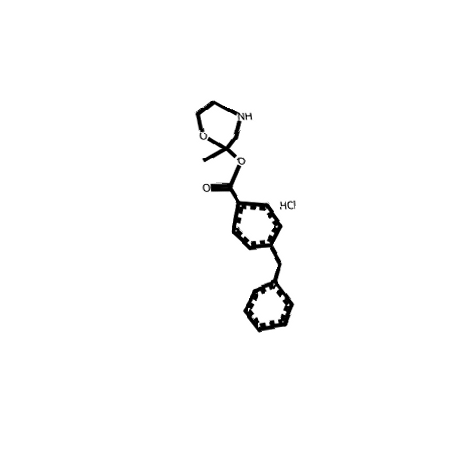 CC1(OC(=O)c2ccc(Cc3ccccc3)cc2)CNCCO1.Cl